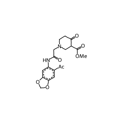 COC(=O)C1CN(CC(=O)Nc2cc3c(cc2C(C)=O)OCO3)CCC1=O